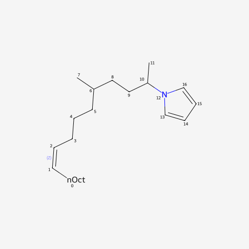 CCCCCCCC/C=C\CCCC(C)CCC(C)n1cccc1